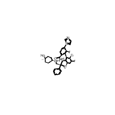 C[C@]1(O)CC[C@H](NC[C@@]2(c3ccccc3)Cc3c(cc(F)c(Cl)c3-c3c(C(N)=O)ccc(-n4ccnc4)c3F)O2)CC1